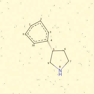 [c]1cccc([C@@H]2CCNC2)c1